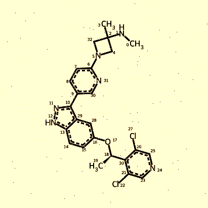 CNC1(C)CN(c2ccc(-c3n[nH]c4ccc(O[C@H](C)c5c(Cl)cncc5Cl)cc34)cn2)C1